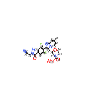 Cc1ccn2c(C[C@H]3CN(C(=O)O)CCO3)c(-c3c(F)cc(C(=O)NCC#N)cc3F)nc2c1